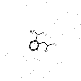 C[CH]([Al])Cc1ccccc1N(C)C